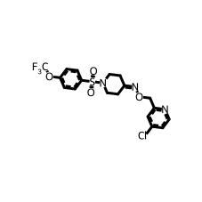 O=S(=O)(c1ccc(OC(F)(F)F)cc1)N1CCC(=NOCc2cc(Cl)ccn2)CC1